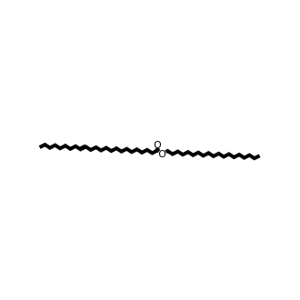 CCCCCCCCC=CCCCCCCCCCCCCCC(=O)OCCCCCCCCCCCCCCCCCCC